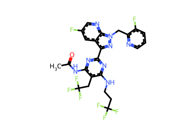 CC(=O)Nc1nc(-c2nn(Cc3ncccc3F)c3ncc(F)cc23)nc(NCCC(F)(F)F)c1CC(F)(F)F